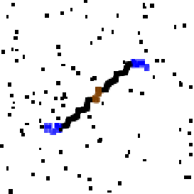 NCCCCCCSSCCCCCCN